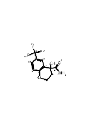 CC1(C(N)=O)CCOc2ccc(C(F)(F)F)cc21